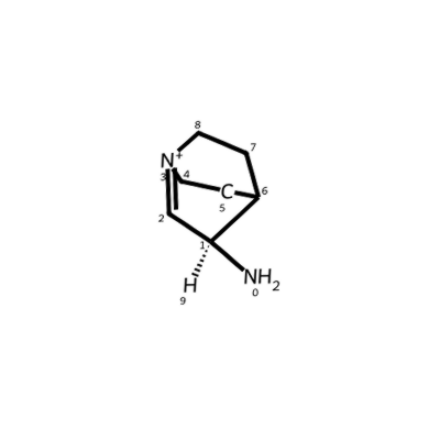 N[C@H]1C=[N+]2CCC1CC2